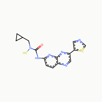 O=C(Nc1ccc2ncc(-c3cncs3)nc2n1)N(S)CC1CC1